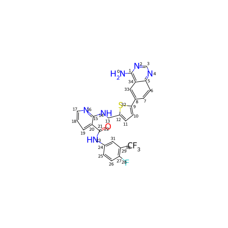 Nc1ncnc2ccc(-c3ccc(CNc4ncccc4C(=O)Nc4ccc(F)c(C(F)(F)F)c4)s3)cc12